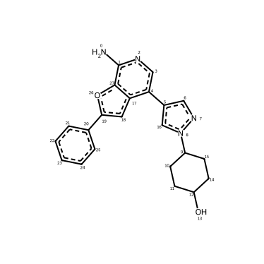 Nc1ncc(-c2cnn(C3CCC(O)CC3)c2)c2cc(-c3ccccc3)oc12